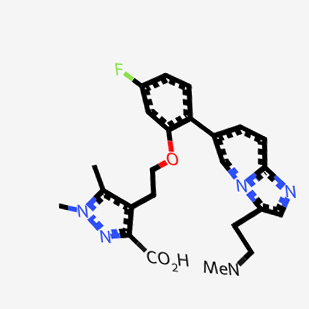 CNCCc1cnc2ccc(-c3ccc(F)cc3OCCc3c(C(=O)O)nn(C)c3C)cn12